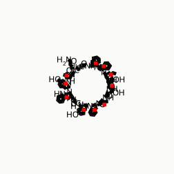 CCCC[C@H]1C(=O)N[C@H](CC(=O)O)C(=O)N[C@@H](CC(=O)O)C(=O)N[C@@H](C(C)C)C(=O)N(C)[C@@H](Cc2ccccc2)C(=O)N[C@@H](Cc2ccc(O)cc2)C(=O)N(C)CC(=O)N[C@@H](Cc2c[nH]c3ccccc23)C(=O)N[C@@H](Cc2ccc(O)cc2)C(=O)N[C@@H](CC(C)C)C(=O)N[C@H](C(=O)NCC(N)=O)CSCC(=O)N[C@@H](Cc2ccccc2)C(=O)N(C)C(Cc2ccccc2)C(=O)N1C